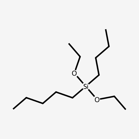 CCCCC[Si](CCCC)(OCC)OCC